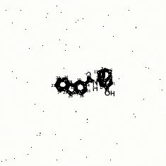 O=C(NC12CC3CC(CC(O)(C3)C1)C2)c1ccc2c(c1)-c1ccccc1C2